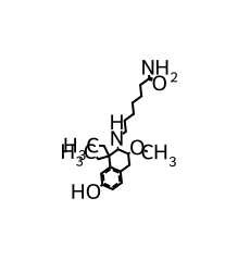 CCC1(CC)c2cc(O)ccc2C[C@H](OC)[C@H]1NCCCCCCC(N)=O